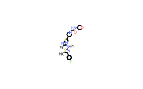 CCc1nc2sc(C3CCN(CC(=O)NC4CCOCC4)CC3)cn2c1N(c1nc(-c2ccc(F)cc2)c(C#N)s1)C(C)C